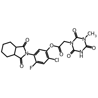 Cn1c(=O)[nH]c(=O)n(CC(=O)Oc2cc(N3C(=O)C4CCCCC4C3=O)c(F)cc2Cl)c1=O